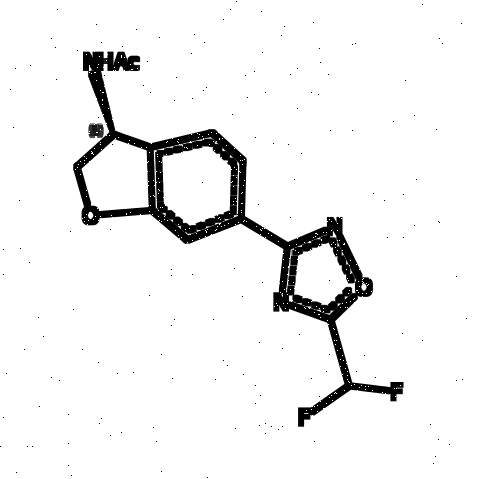 CC(=O)N[C@@H]1COc2cc(-c3noc(C(F)F)n3)ccc21